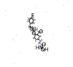 O=C(/C=C/c1ccc2c(c1)C(=O)CC1(CN(Cc3ccc(F)cc3)C1)O2)NO